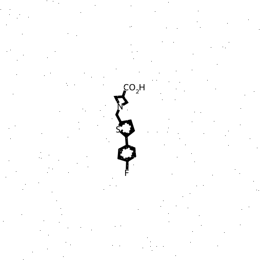 O=C(O)C1CN(Cc2ccc(-c3ccc(F)cc3)s2)C1